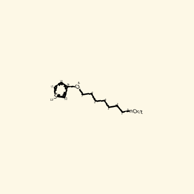 CCCCCCCCCCCCCCCOc1ccsc1